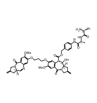 C=C1C[C@H]2C=Nc3cc(OCCCOc4cc5c(cc4OC)C(=O)N4CC(=C)C[C@H]4[C@H](O)N5C(=O)OCc4ccc(NC(=O)[C@H](C)NC(=O)[C@@H](N)C(C)C)cc4)c(OC)cc3C(=O)N2C1